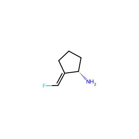 N[C@H]1CCC/C1=C\F